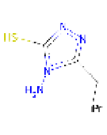 CC(C)Cc1nnc(S)n1N